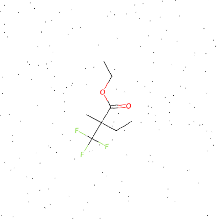 CCOC(=O)C(C)(CC)C(F)(F)F